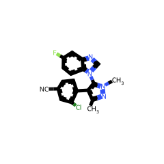 Cc1nn(C)c(-n2cnc3cc(F)ccc32)c1-c1ccc(C#N)cc1Cl